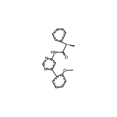 COc1ccccc1-c1cc(NC(=O)[C@H](C)c2ccccc2)ncn1